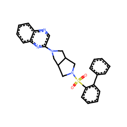 O=S(=O)(c1ccccc1-c1ccccc1)N1CC2CN(c3cnc4ccccc4n3)CC2C1